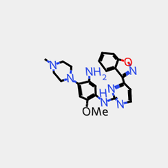 COc1cc(N2CCN(C)CC2)c(N)cc1Nc1nccc(-c2noc3ccccc23)n1